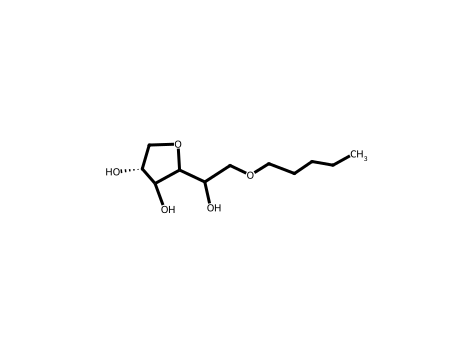 CCCCCOCC(O)C1OC[C@@H](O)C1O